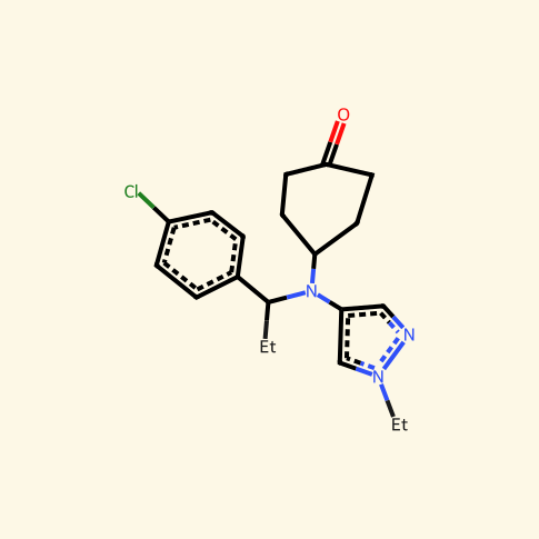 CCC(c1ccc(Cl)cc1)N(c1cnn(CC)c1)C1CCC(=O)CC1